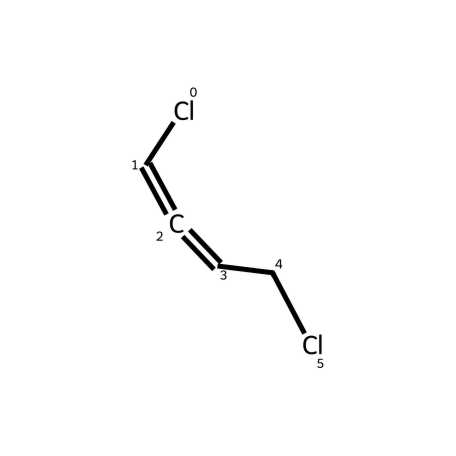 ClC=C=CCCl